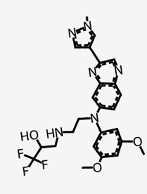 COc1cc(OC)cc(N(CCNCC(O)C(F)(F)F)c2ccc3ncc(-c4cnn(C)c4)nc3c2)c1